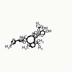 CO[C@@]1(O)/C=C\C(C)(C)[C@@H](OC(=O)/C=C/c2cn(C)cn2)C[C@H]2C(C)=CC[C@H](C(C)C)[C@H]2/C=C\1CO[C@@H]1OC[C@@H](O)[C@@H](O)[C@@H]1OC(C)=O